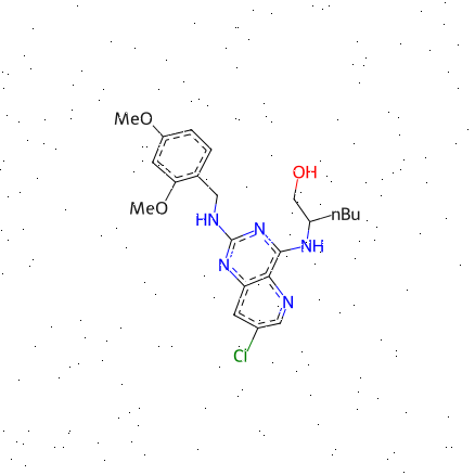 CCCCC(CO)Nc1nc(NCc2ccc(OC)cc2OC)nc2cc(Cl)cnc12